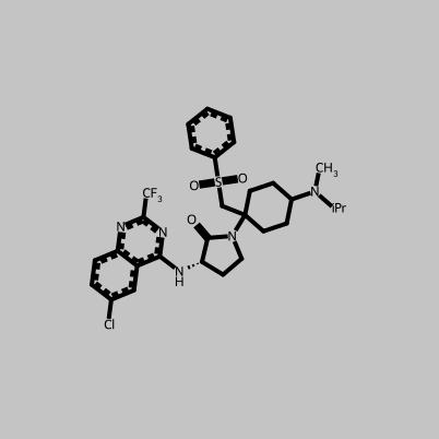 CC(C)N(C)C1CCC(CS(=O)(=O)c2ccccc2)(N2CC[C@H](Nc3nc(C(F)(F)F)nc4ccc(Cl)cc34)C2=O)CC1